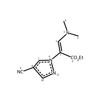 CCOC(=O)C(=CN(C)C)n1cc(C#N)cn1